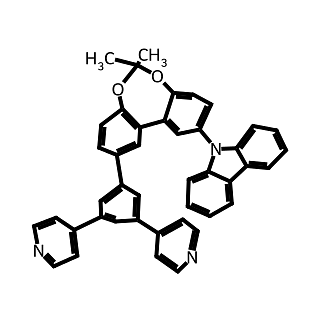 CC1(C)Oc2ccc(-c3cc(-c4ccncc4)cc(-c4ccncc4)c3)cc2-c2cc(-n3c4ccccc4c4ccccc43)ccc2O1